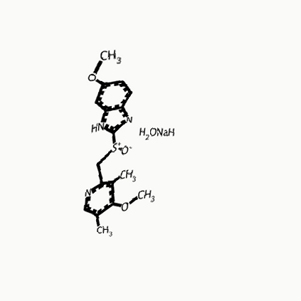 COc1ccc2nc([S@+]([O-])Cc3ncc(C)c(OC)c3C)[nH]c2c1.O.[NaH]